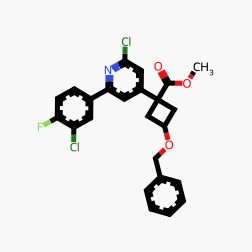 COC(=O)C1(c2cc(Cl)nc(-c3ccc(F)c(Cl)c3)c2)CC(OCc2ccccc2)C1